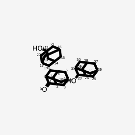 O=C1C2CC3CC(C2)CC1C3.OC12CC3CC(CC(C3)C1)C2.OC1C2CC3CC(C2)CC1C3